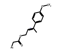 CC(=O)CC(=O)OC/C=C(\C)c1ccc(OC(F)(F)F)cc1